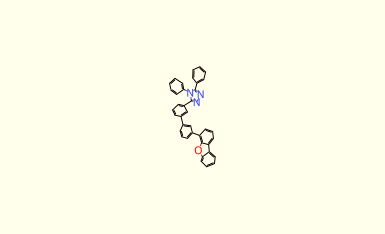 c1ccc(-c2nnc(-c3cccc(-c4cccc(-c5cccc6c5oc5ccccc56)c4)c3)n2-c2ccccc2)cc1